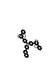 c1ccc2cc(-c3ccc(N(c4ccc(-c5cncc6c5oc5ccccc56)cc4)c4ccc(-c5cncc6c5oc5ccccc56)cc4)cc3)ccc2c1